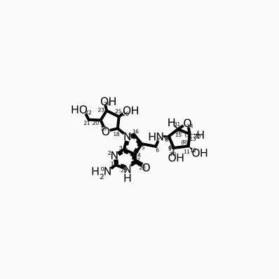 Nc1nc2c(c(CN[C@@H]3[C@@H](O)[C@@H](O)[C@@H]4O[C@H]34)cn2C2OC(CO)C(O)C2O)c(=O)[nH]1